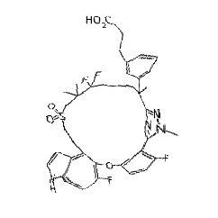 Cn1nc2nc1-c1cc(ccc1F)Oc1c(F)cc3[nH]ccc3c1CCS(=O)(=O)CC(C)(C)C(F)(F)CCC2(C)c1cccc(CCC(=O)O)c1